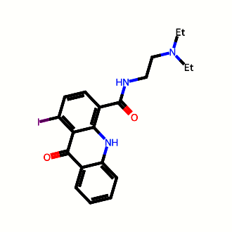 CCN(CC)CCNC(=O)c1ccc(I)c2c(=O)c3ccccc3[nH]c12